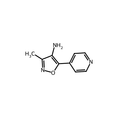 Cc1noc(-c2ccncc2)c1N